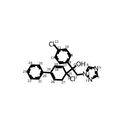 OC(Cn1cncn1)(c1ccc(Cl)cc1)C1(Cl)C=CC(c2ccccc2)=CC1